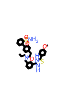 CCCN(Cc1cccc(C(=N)NC(=S)c2ccc(OC)cc2)c1)C(=O)Cc1ccc(-c2ccccc2S(N)(=O)=O)cc1